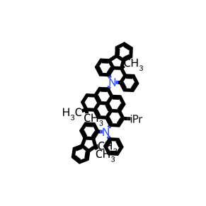 CC(C)c1cc(N(c2ccccc2)c2cccc3c2C(C)(C)c2ccccc2-3)c2cc3c4c(cc(N5c6ccccc6C6(C)c7ccccc7-c7cccc5c76)c5ccc1c2c54)CCC3(C)C